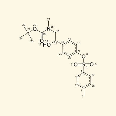 Cc1ccc(S(=O)(=O)Oc2ccc(C(O)CN(C)C(=O)OC(C)(C)C)cc2)cc1